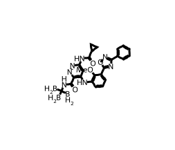 BC(B)(B)NC(=O)c1nnc(NC(=O)C2CC2)cc1Nc1cccc(-c2nc(-c3ccccc3)no2)c1OC